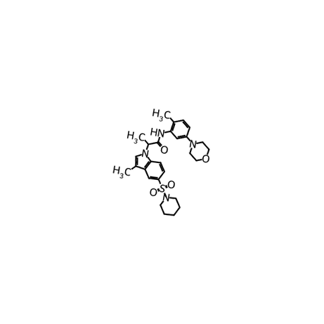 Cc1ccc(N2CCOCC2)cc1NC(=O)C(C)n1cc(C)c2cc(S(=O)(=O)N3CCCCC3)ccc21